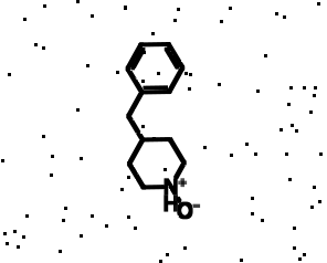 [O-][NH+]1CCC(Cc2ccccc2)CC1